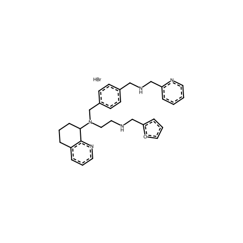 Br.c1ccc(CNCc2ccc(CN(CCNCc3ccco3)C3CCCc4cccnc43)cc2)nc1